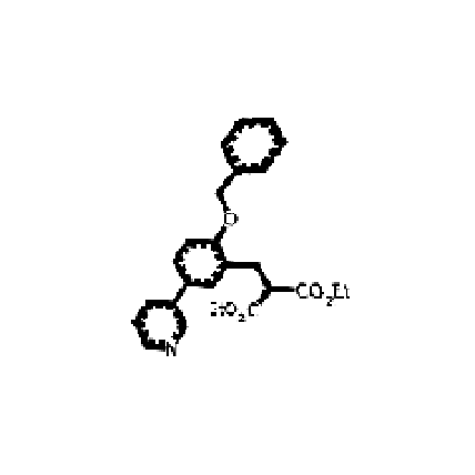 CCOC(=O)C(Cc1cc(-c2cccnc2)ccc1OCc1ccccc1)C(=O)OCC